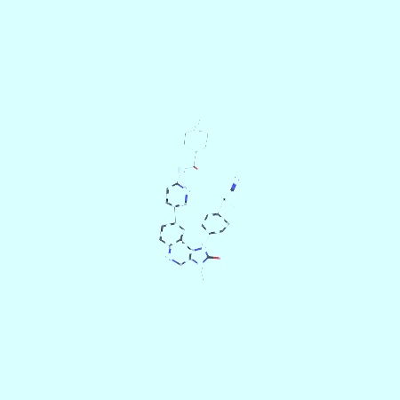 CN1CCC(C(=O)Nc2ccc(-c3ccc4ncc5c(c4c3)n(-c3ccc(C(C)(C)C#N)cc3)c(=O)n5C)cn2)CC1